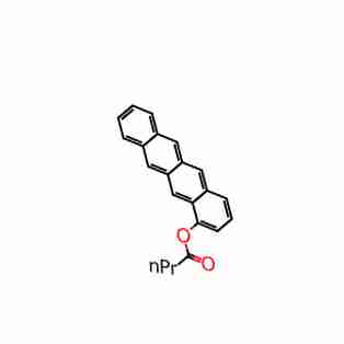 CCCC(=O)Oc1cccc2cc3cc4ccccc4cc3cc12